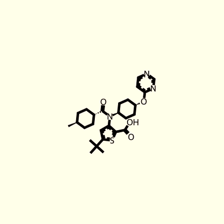 CC(C)(C)c1cc(N(C(=O)[C@H]2CC[C@H](C)CC2)[C@H]2CC[C@H](Oc3ccncn3)CC2)c(C(=O)O)s1